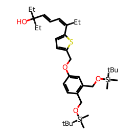 CC/C(=C/C=C/C(O)(CC)CC)c1ccc(COc2ccc(CO[Si](C)(C)C(C)(C)C)c(CO[Si](C)(C)C(C)(C)C)c2)s1